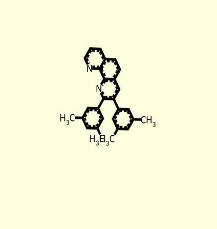 Cc1cc(C)cc(-c2cc3ccc4cccnc4c3nc2-c2cc(C)cc(C)c2)c1